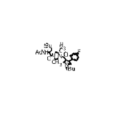 CC(=O)NC(CC(C)(C)C)C(=O)N1C[C@H](C)N(C(=O)C2CN(C(C)(C)C)CC2c2ccc(F)cc2)C[C@H]1C